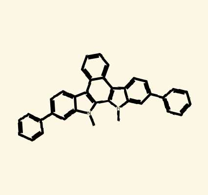 Cn1c2cc(-c3ccccc3)ccc2c2c3ccccc3c3c4ccc(-c5ccccc5)cc4n(C)c3c21